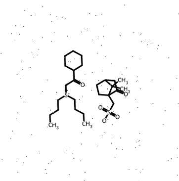 CC1(C)C2CCC1(CS(=O)(=O)[O-])C(=O)C2.CCCC[S+](CCCC)CC(=O)C1CCCCC1